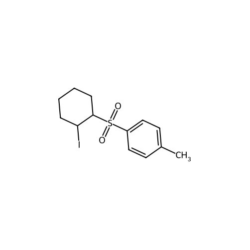 Cc1ccc(S(=O)(=O)C2CCCCC2I)cc1